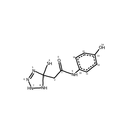 O=C(CC1(S)N=NNN1)Nc1ccc(O)cc1